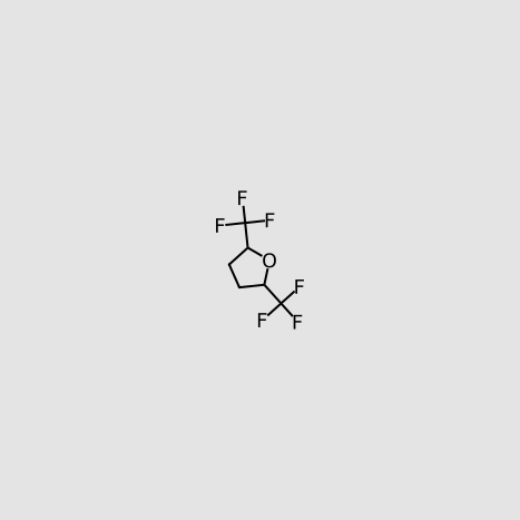 FC(F)(F)C1CCC(C(F)(F)F)O1